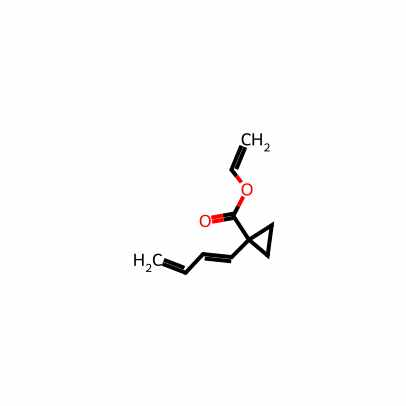 C=CC=CC1(C(=O)OC=C)CC1